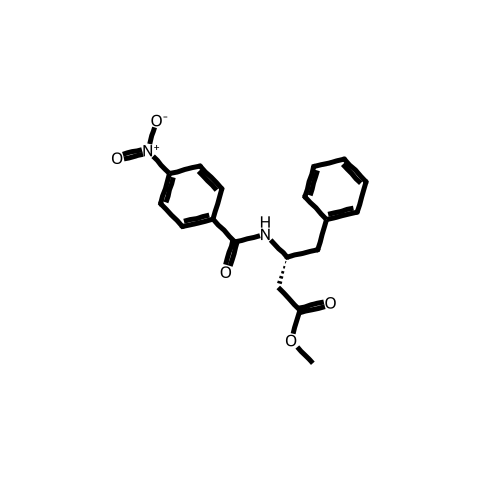 COC(=O)C[C@@H](Cc1ccccc1)NC(=O)c1ccc([N+](=O)[O-])cc1